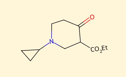 CCOC(=O)C1CN(C2CC2)CCC1=O